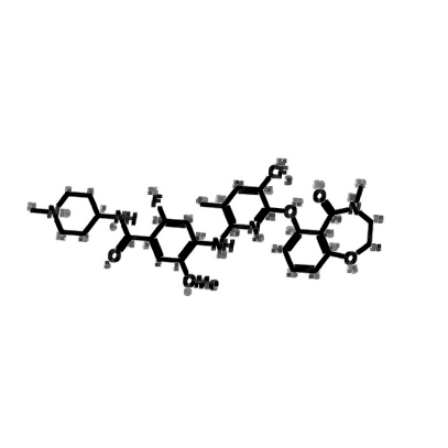 COc1cc(C(=O)NC2CCN(C)CC2)c(F)cc1Nc1nc(Oc2cccc3c2C(=O)N(C)CCO3)c(C(F)(F)F)cc1C